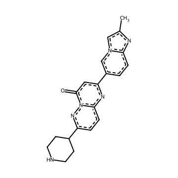 Cc1cn2cc(-c3cc(=O)n4nc(C5CCNCC5)ccc4n3)ccc2n1